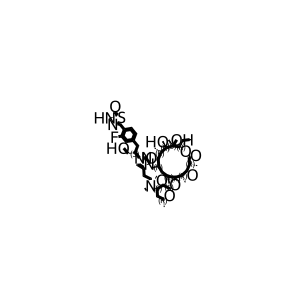 CC[C@H]1OC(=O)[C@H](C)C(=O)[C@H](C)[C@@H](O[C@H]2C[C@@H](N(C)CCc3cn([C@H](CO)Cc4ccc(-c5n[nH]c(=O)s5)c(F)c4)nn3)C[C@@H](C)O2)[C@](C)(OC)C[C@@H](C)C(=O)[C@H](C)[C@@H](O)[C@]1(C)O